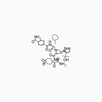 CC(C)(O)c1cnnn1[C@H]1C[C@@H](C(=O)NC2(C(=O)C(N)=O)CCS(=O)(=O)CC2)N(C(=O)[C@@H](CC2CCCCC2)NC(=O)c2ccc(C(N)=O)cc2)C1